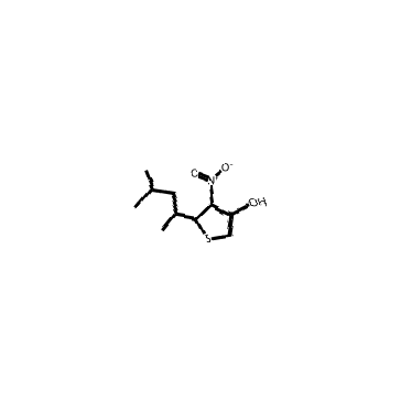 CC(C)CC(C)C1SCC(O)C1[N+](=O)[O-]